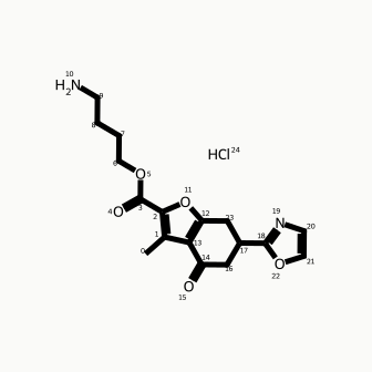 Cc1c(C(=O)OCCCCN)oc2c1C(=O)CC(c1ncco1)C2.Cl